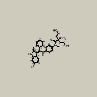 CN(C(=O)C(N)(CCO)CCO)c1ccc(NC(=C2C(=O)Nc3cc(F)ccc32)c2ccccc2)cc1